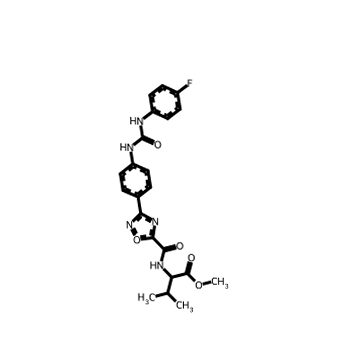 COC(=O)C(NC(=O)c1nc(-c2ccc(NC(=O)Nc3ccc(F)cc3)cc2)no1)C(C)C